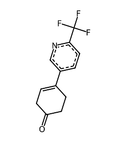 O=C1CC=C(c2ccc(C(F)(F)F)nc2)CC1